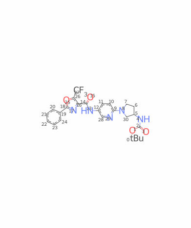 CC(C)(C)OC(=O)NC1CCN(c2ccc(NC(=O)c3nc(-c4ccccc4)oc3C(F)(F)F)cn2)C1